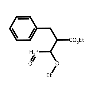 CCOC(=O)C(Cc1ccccc1)C(OCC)[PH2]=O